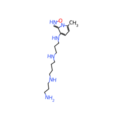 CC1=CC=C(NCCCNCCCCNCCCN)C2=CNON12